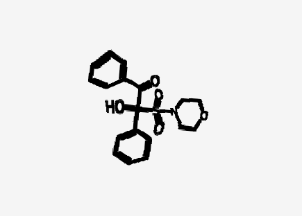 O=C(c1ccccc1)C(O)(c1ccccc1)S(=O)(=O)N1CCOCC1